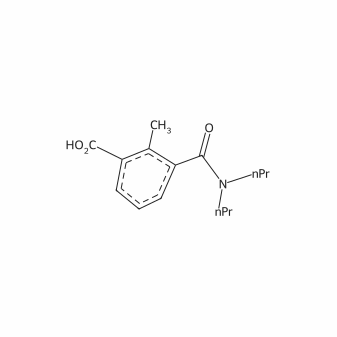 CCCN(CCC)C(=O)c1cccc(C(=O)O)c1C